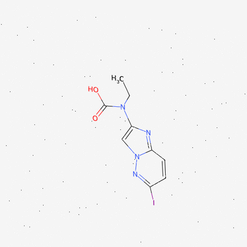 CCN(C(=O)O)c1cn2nc(I)ccc2n1